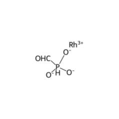 O=C[PH]([O-])([O-])[O-].[Rh+3]